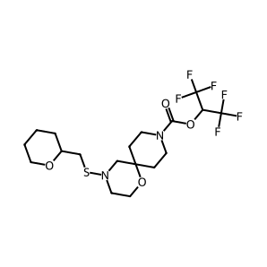 O=C(OC(C(F)(F)F)C(F)(F)F)N1CCC2(CC1)CN(SCC1CCCCO1)CCO2